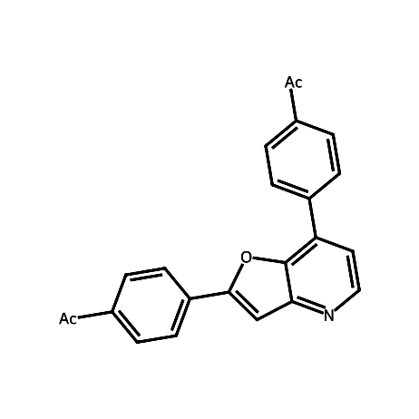 CC(=O)c1ccc(-c2cc3nccc(-c4ccc(C(C)=O)cc4)c3o2)cc1